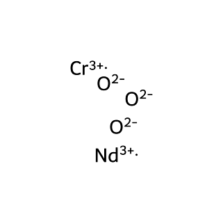 [Cr+3].[Nd+3].[O-2].[O-2].[O-2]